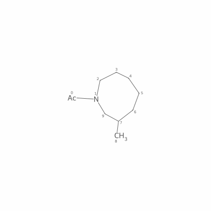 CC(=O)N1CCCCCC(C)C1